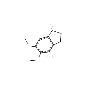 COc1cc2c(cc1OC)C(N)CC2.Cl